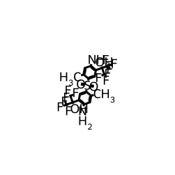 Cc1cc(N)c(C(O)(C(F)(F)F)C(F)(F)F)cc1S(=O)(=O)c1cc(C(O)(C(F)(F)F)C(F)(F)F)c(N)cc1C